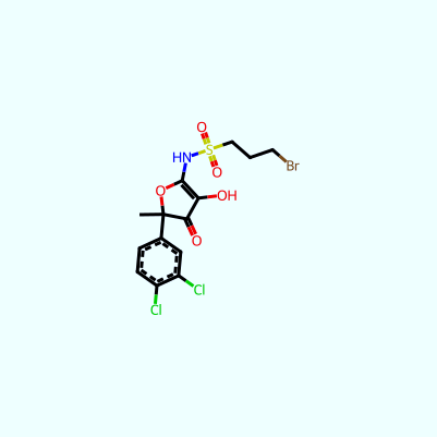 CC1(c2ccc(Cl)c(Cl)c2)OC(NS(=O)(=O)CCCBr)=C(O)C1=O